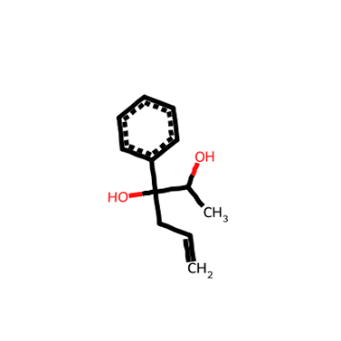 C=CCC(O)(c1ccccc1)C(C)O